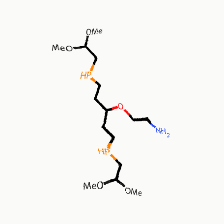 COC(CPCCC(CCPCC(OC)OC)OCCN)OC